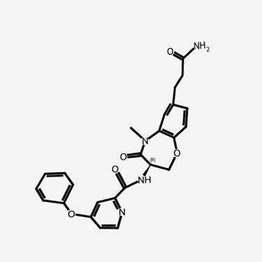 CN1C(=O)[C@H](NC(=O)c2cc(Oc3ccccc3)ccn2)COc2ccc(CCC(N)=O)cc21